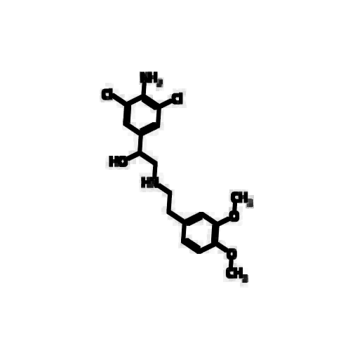 COc1ccc(CCNCC(O)c2cc(Cl)c(N)c(Cl)c2)cc1OC